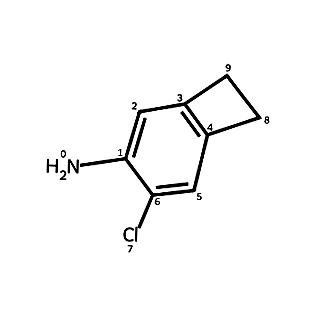 Nc1cc2c(cc1Cl)CC2